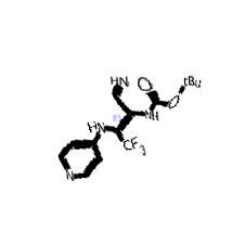 CC(C)(C)OC(=O)N/C(C=N)=C(/Nc1ccncc1)C(F)(F)F